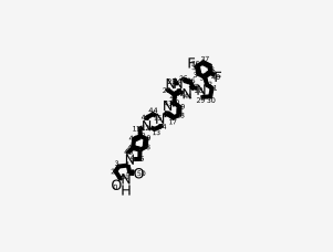 O=C1CCC(N2Cc3ccc(CN4CCN(c5cccc(-c6cnn7ccc(N8CCCC8c8cc(F)ccc8F)nc67)n5)CC4)cc3C2)C(=O)N1